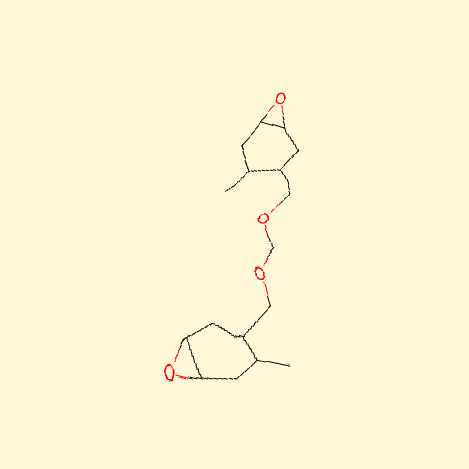 CC1CC2OC2CC1COCOCC1CC2OC2CC1C